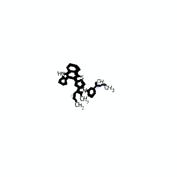 C=C/C=C\c1c(C)n(-c2cccc(/C(C=C)=C/C=C\C)c2)c2cc3sc4c5ccccc5c5[nH]c6ccccc6c5c4c3cc12